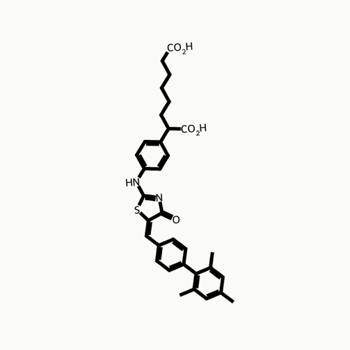 Cc1cc(C)c(-c2ccc(C=C3SC(Nc4ccc(C(CCCCCC(=O)O)C(=O)O)cc4)=NC3=O)cc2)c(C)c1